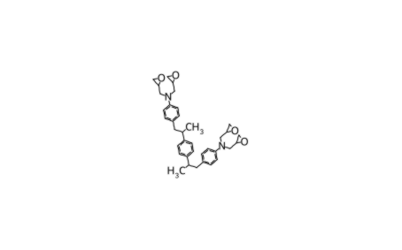 CC(Cc1ccc(N(CC2CO2)CC2CO2)cc1)c1ccc(C(C)Cc2ccc(N(CC3CO3)CC3CO3)cc2)cc1